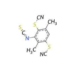 Cc1cc(SC#N)c(C)c(N=C=S)c1SC#N